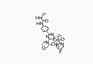 C[C@H]1COCCN1c1cc(C2(S(=O)(=O)c3ccc(F)cn3)CC2)nc(-c2ccc(NC(=O)NC3CC3)cc2)n1